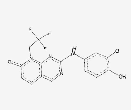 O=c1ccc2cnc(Nc3ccc(O)c(Cl)c3)nc2n1CC(F)(F)F